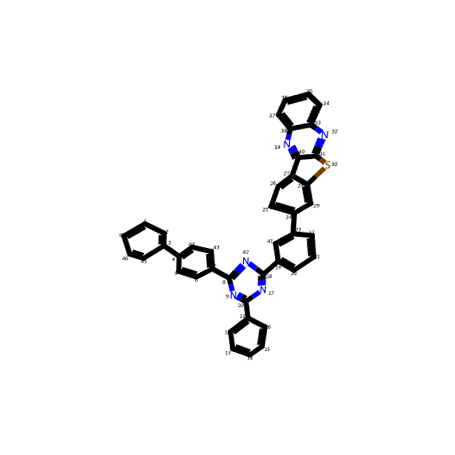 c1ccc(-c2ccc(-c3nc(-c4ccccc4)nc(-c4cccc(-c5ccc6c(c5)sc5nc7ccccc7nc56)c4)n3)cc2)cc1